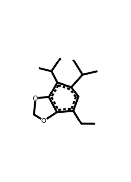 CCc1cc(C(C)C)c(C(C)C)c2c1OCO2